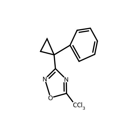 ClC(Cl)(Cl)c1nc(C2(c3ccccc3)CC2)no1